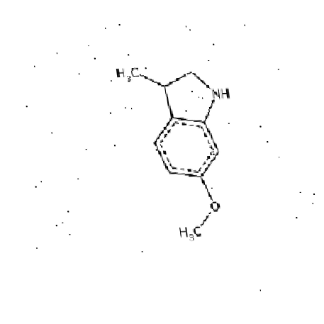 COc1ccc2c(c1)NCC2C